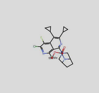 COc1nc(Cl)c(F)c2c(C3CC3)c(C3CC3)nc(N3CC4CCC(C3)N4C(=O)OC(C)(C)C)c12